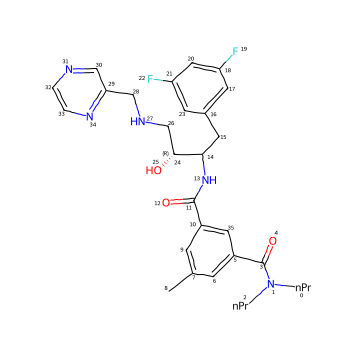 CCCN(CCC)C(=O)c1cc(C)cc(C(=O)NC(Cc2cc(F)cc(F)c2)[C@H](O)CNCc2cnccn2)c1